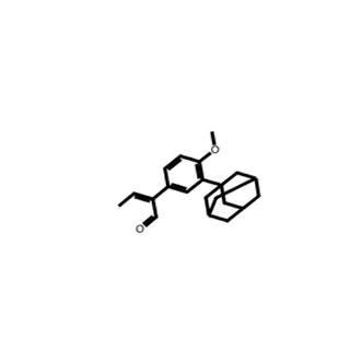 CC=C(C=O)c1ccc(OC)c(C23CC4CC(CC(C4)C2)C3)c1